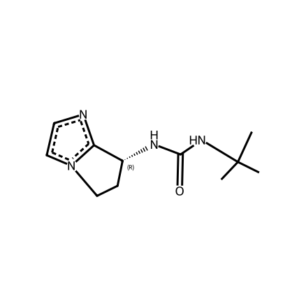 CC(C)(C)NC(=O)N[C@@H]1CCn2ccnc21